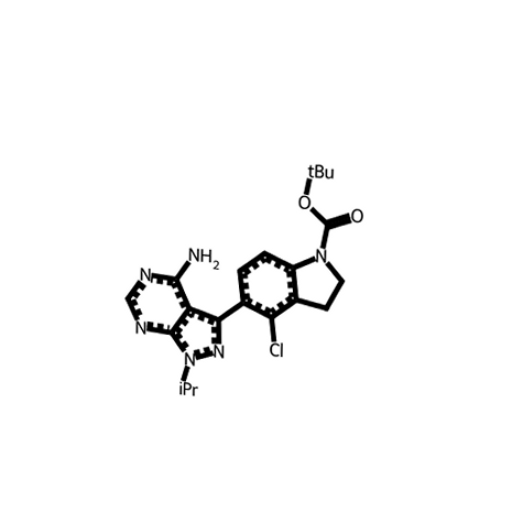 CC(C)n1nc(-c2ccc3c(c2Cl)CCN3C(=O)OC(C)(C)C)c2c(N)ncnc21